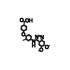 COc1cc2ncnc(Nc3ccc(Oc4ccc(C(=O)O)cc4)c(C)c3)c2cc1OC